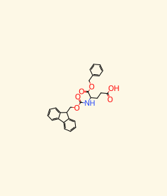 O=C(O)CCC(NC(=O)OCC1c2ccccc2-c2ccccc21)C(=O)OCc1ccccc1